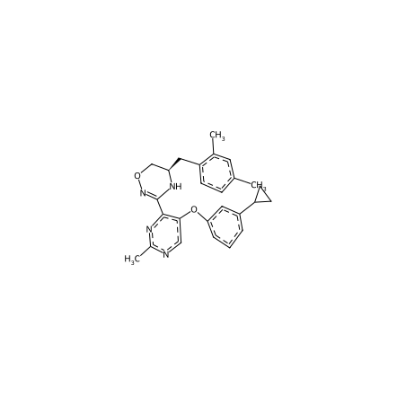 Cc1ccc(C[C@@H]2CON=C(c3nc(C)ncc3Oc3cccc(C4CC4)c3)N2)c(C)c1